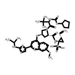 C=C[C@@H]1C[C@]1(NC(=O)[C@@H]1C[C@@H](Oc2cc(-c3csc(NC(C)C)n3)nc3cc(OC)ccc23)CN1C(=O)C(NC(=O)OC1CCCC1)C(C)(C)C)P(=O)(O)O